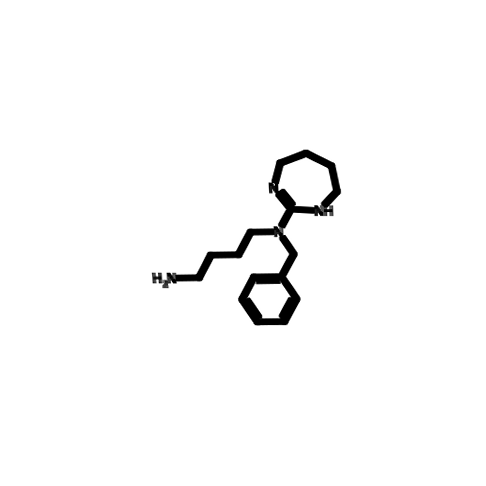 NCCCCN(Cc1ccccc1)C1=NCCCCN1